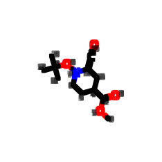 COC(=O)C1CCN(OC(C)(C)C)C(=C=O)C1